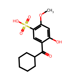 COc1cc(O)c(C(=O)C2CCCCC2)cc1S(=O)(=O)O